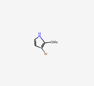 COc1[nH]ccc1Br